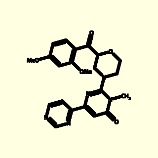 COc1ccc(C(=O)C2CN(c3nc(-c4ccncn4)cc(=O)n3C)CCO2)c(OC)c1